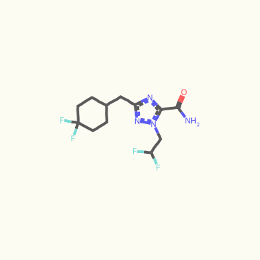 NC(=O)c1nc(CC2CCC(F)(F)CC2)nn1CC(F)F